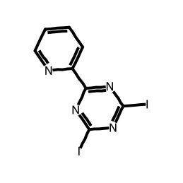 Ic1nc(I)nc(-c2ccccn2)n1